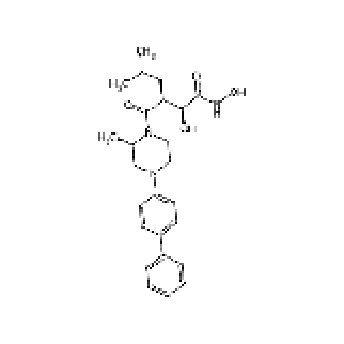 CC(C)C[C@H](C(=O)N1CCN(c2ccc(-c3ccccc3)cc2)C[C@H]1C)[C@H](O)C(=O)NO